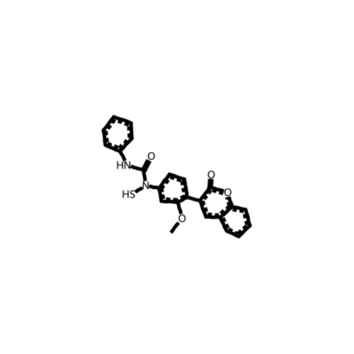 COc1cc(N(S)C(=O)Nc2ccccc2)ccc1-c1cc2ccccc2oc1=O